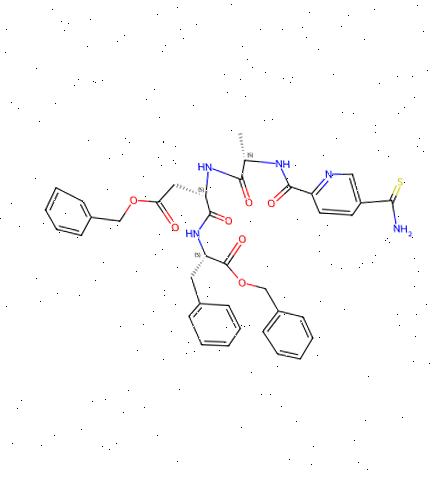 C[C@H](NC(=O)c1ccc(C(N)=S)cn1)C(=O)N[C@@H](CC(=O)OCc1ccccc1)C(=O)N[C@@H](Cc1ccccc1)C(=O)OCc1ccccc1